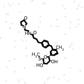 CS[C@H]1O[C@@H](c2ccc(C)c(Cc3ccc(CCCC(=O)NCCN4CCC(=O)C4)cc3)c2)[C@H](O)C[C@@H]1O